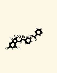 CCOC(=O)c1[nH]c2cc(Cl)cc(Cl)c2c1/C=C(\C(=O)O)c1cccc(NC(=O)c2ccccc2)c1